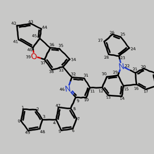 c1ccc(-c2cccc(-c3cc(-c4ccc5c6ccccc6n(-c6ccccc6)c5c4)cc(-c4ccc5c(c4)oc4ccccc45)n3)c2)cc1